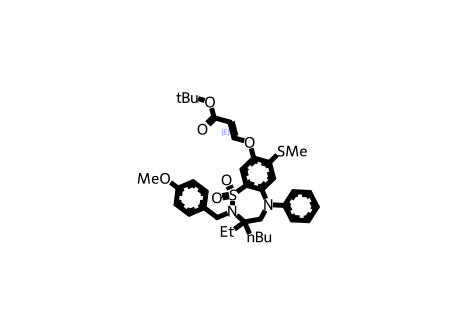 CCCCC1(CC)CN(c2ccccc2)c2cc(SC)c(O/C=C/C(=O)OC(C)(C)C)cc2S(=O)(=O)N1Cc1ccc(OC)cc1